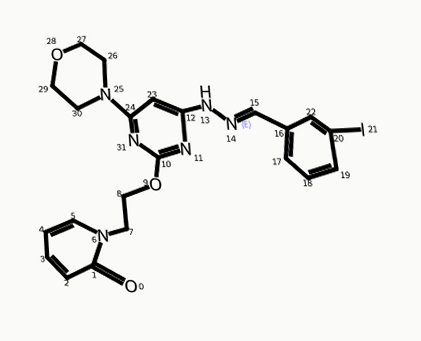 O=c1ccccn1CCOc1nc(N/N=C/c2cccc(I)c2)cc(N2CCOCC2)n1